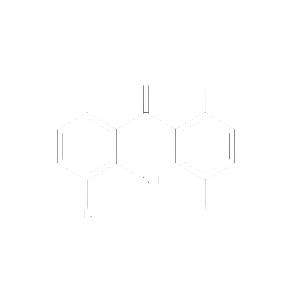 C=C(c1cc(F)ccc1Cl)c1cccc(Br)c1N